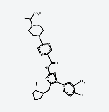 CC(C(=O)O)N1CCN(c2cnc(C(=O)Nc3nc(-c4ccc(Cl)c(C(F)(F)F)c4)c(CN4CCC[C@H]4C)s3)cn2)CC1